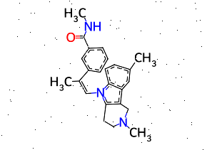 CNC(=O)c1cccc(/C(C)=C\n2c3c(c4cc(C)ccc42)CN(C)CC3)c1